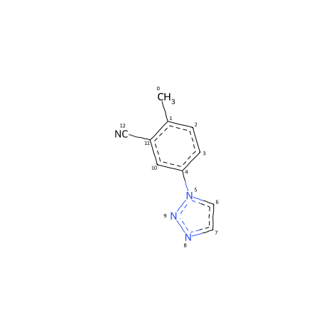 Cc1ccc(-n2ccnn2)cc1C#N